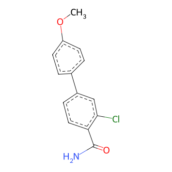 COc1ccc(-c2ccc(C(N)=O)c(Cl)c2)cc1